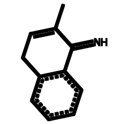 CC1=CCc2ccccc2C1=N